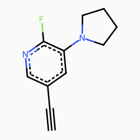 C#Cc1cnc(F)c(N2CCCC2)c1